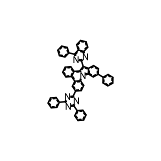 c1ccc(-c2ccc3c(-c4nc(-c5ccccc5)c5ccccc5n4)c4c5ccccc5c5cc(-c6nc(-c7ccccc7)nc(-c7ccccc7)n6)ccc5n4c3c2)cc1